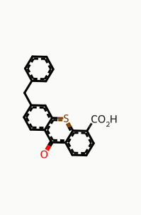 O=C(O)c1cccc2c(=O)c3ccc(Cc4ccccc4)cc3sc12